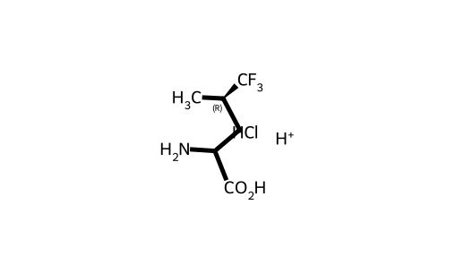 C[C@H](CC(N)C(=O)O)C(F)(F)F.Cl.[H+]